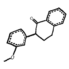 COc1cccc(C2CCc3ccccc3C2=O)c1